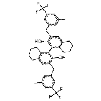 Cc1cc(Cc2cc3c(c(-c4c(O)c(Cc5cc(C)cc(C(F)(F)F)c5)cc5c4CCCC5)c2O)CCCC3)cc(C(F)(F)F)c1